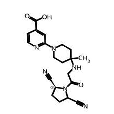 CC1(NCC(=O)N2C(C#N)CC[C@H]2C#N)CCN(c2cc(C(=O)O)ccn2)CC1